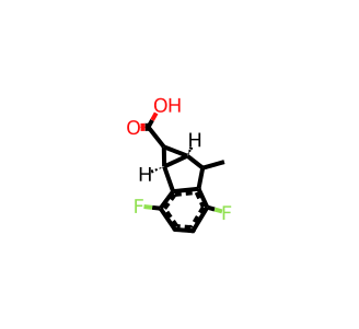 CC1c2c(F)ccc(F)c2[C@H]2C(C(=O)O)[C@@H]12